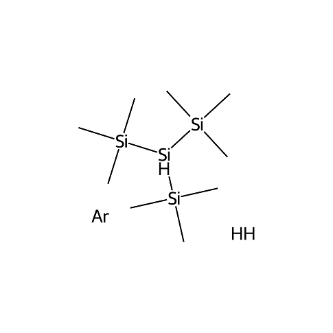 C[Si](C)(C)[SiH]([Si](C)(C)C)[Si](C)(C)C.[Ar].[HH]